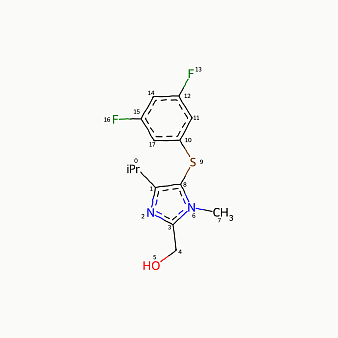 CC(C)c1nc(CO)n(C)c1Sc1cc(F)cc(F)c1